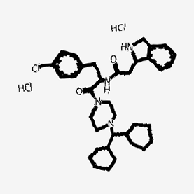 Cl.Cl.O=C(CC1NCc2ccccc21)NC(Cc1ccc(Cl)cc1)C(=O)N1CCN(C(C2CCCCC2)C2CCCCC2)CC1